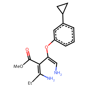 CC/C(N)=C(C(=O)OC)/C(=C\N)Oc1cccc(C2CC2)c1